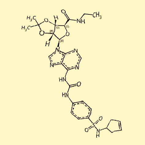 CCNC(=O)[C@H]1O[C@@H](n2cnc3c(NC(=O)Nc4ccc(S(=O)(=O)NC5CC=CC5)cc4)ncnc32)[C@@H]2OC(C)(C)O[C@@H]21